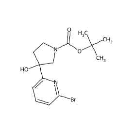 CC(C)(C)OC(=O)N1CCC(O)(c2cccc(Br)n2)C1